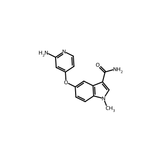 Cn1cc(C(N)=O)c2cc(Oc3ccnc(N)c3)ccc21